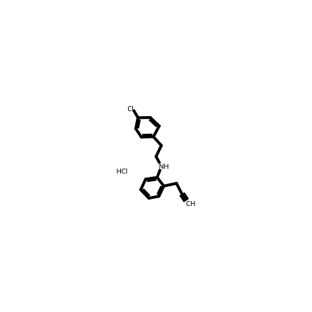 C#CCc1ccccc1NCCc1ccc(Cl)cc1.Cl